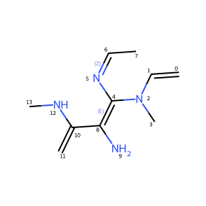 C=CN(C)C(/N=C\C)=C(\N)C(=C)NC